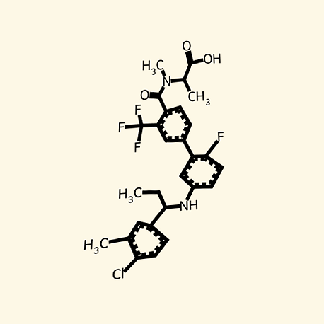 CCC(Nc1ccc(F)c(-c2ccc(C(=O)N(C)C(C)C(=O)O)c(C(F)(F)F)c2)c1)c1ccc(Cl)c(C)c1